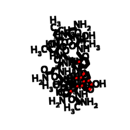 CC(C)C[C@H](NC(=O)[C@H](Cc1c[nH]c2ccccc12)NC(=O)[C@H](CCC(N)=O)NC(=O)[C@@H](NC(=O)[C@H](Cc1ccccc1)NC(=O)[C@H](CC(=O)O)NC(=O)[C@H](CCC(N)=O)NC(=O)[C@H](C)N)C(C)C)C(=O)N[C@@H](CC(C)C)C(=O)N[C@@H](CC(N)=O)C(=O)N[C@H](C(=O)NCC(=O)NCC(=O)N1CCC[C@H]1C(=O)N[C@@H](CO)C(=O)O)[C@@H](C)O